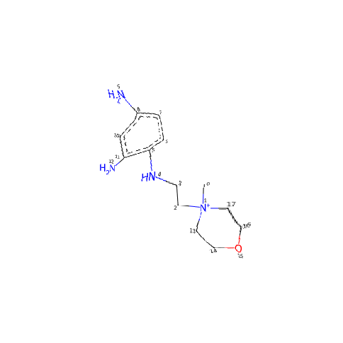 C[N+]1(CCNc2ccc(N)cc2N)CCOCC1